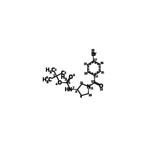 CC(C)(C)OC(=O)NC1CCN(C(=O)c2ccc(Br)cc2)C1